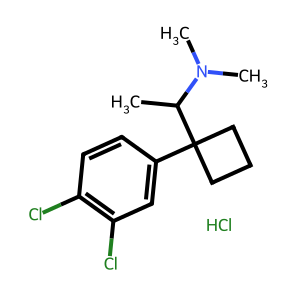 CC(N(C)C)C1(c2ccc(Cl)c(Cl)c2)CCC1.Cl